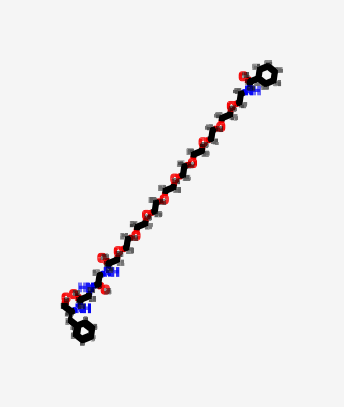 O=C[C@H](Cc1ccccc1)NC(=O)CNC(=O)CNC(=O)COCCOCCOCCOCCOCCOCCOCCOCCOCCNC(=O)C1CCCCC1